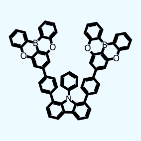 c1ccc(-n2c3c(-c4ccc(-c5cc6c7c(c5)Oc5ccccc5B7c5ccccc5O6)cc4)cccc3c3cccc(-c4ccc(-c5cc6c7c(c5)Oc5ccccc5B7c5ccccc5O6)cc4)c32)cc1